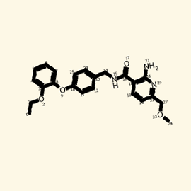 CCOc1ccccc1Oc1ccc(CNC(=O)c2ccc(COC)nc2N)cc1